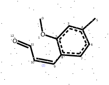 COc1cc(C)ccc1/C=C\C=O